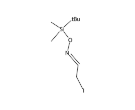 CC(C)(C)[Si](C)(C)ON=CCI